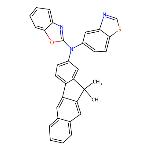 CC1(C)c2cc(N(c3ccc4scnc4c3)c3nc4ccccc4o3)ccc2-c2cc3ccccc3cc21